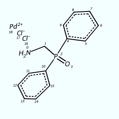 NCP(=O)(c1ccccc1)c1ccccc1.[Cl-].[Cl-].[Pd+2]